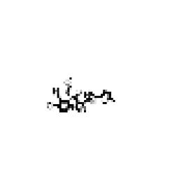 COCCn1c(=O)c2c(-c3noc(-c4ccc(C)o4)n3)ncn2c2ccc(Cl)c(C#N)c21